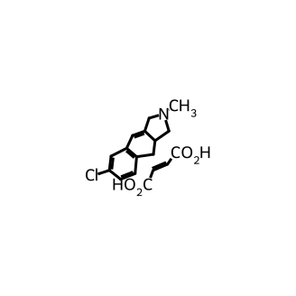 CN1CC2=Cc3cc(Cl)ccc3CC2C1.O=C(O)/C=C/C(=O)O